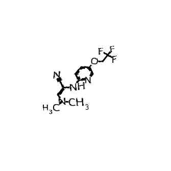 CN(C)/C=C(/C#N)Nc1ccc(OCC(F)(F)F)cn1